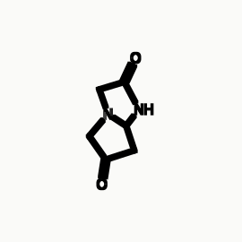 O=C1CC2NC(=O)CN2C1